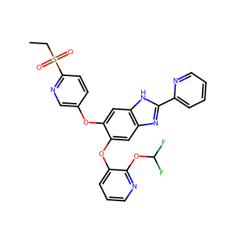 CCS(=O)(=O)c1ccc(Oc2cc3[nH]c(-c4ccccn4)nc3cc2Oc2cccnc2OC(F)F)cn1